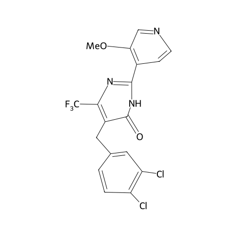 COc1cnccc1-c1nc(C(F)(F)F)c(Cc2ccc(Cl)c(Cl)c2)c(=O)[nH]1